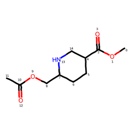 COC(=O)C1CCC(COC(C)=O)NC1